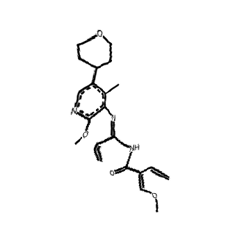 C=C/C(=C\OC)C(=O)N/C(C=C)=N/c1c(OC)ncc(C2CCOCC2)c1C